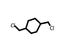 ClCC1CCC(CCl)CC1